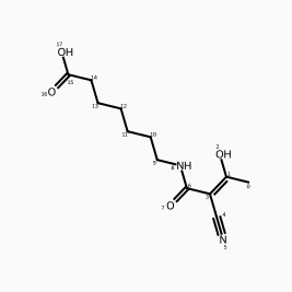 C/C(O)=C(\C#N)C(=O)NCCCCCCC(=O)O